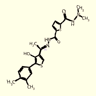 C/C(=N\NC(=O)c1ccc(C(=O)NN(C)C)s1)c1csc(-c2ccc(C)c(C)c2)c1O